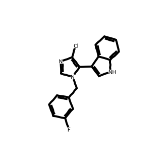 Fc1cccc(Cn2cnc(Cl)c2-c2c[nH]c3ccccc23)c1